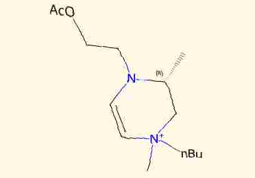 CCCC[N+]1(C)C=CN(CCOC(C)=O)[C@H](C)C1